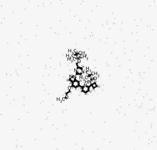 COCCOc1cc(-c2cccc(C3(N[S+]([O-])C(C)(C)C)CCC3)n2)cc2c1cnn2-c1cncc(CO[Si](C)(C)C(C)(C)C)n1